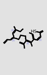 C=C/C=C(\C=C(\C)CC)CCC/C(C(=C)C)=C(/C)C(=CC)/C=C\C(=C)S